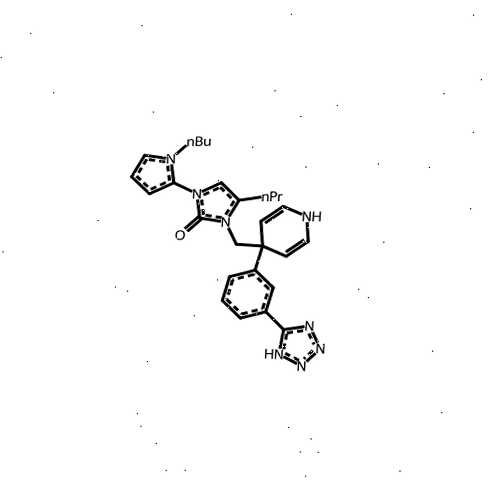 CCCCn1cccc1-n1cc(CCC)n(CC2(c3cccc(-c4nnn[nH]4)c3)C=CNC=C2)c1=O